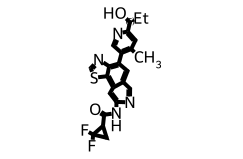 CC[C@H](O)c1cc(C)c(-c2cc3cnc(NC(=O)C4CC4(F)F)cc3c3scnc23)cn1